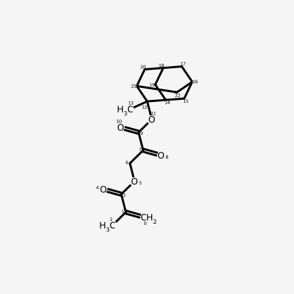 C=C(C)C(=O)OCC(=O)C(=O)OC1(C)C2CC3CC(C2)CC1C3